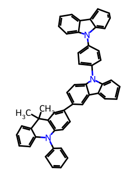 CC1(C)c2ccccc2N(c2ccccc2)c2ccc(-c3ccc4c(c3)c3ccccc3n4-c3ccc(-n4c5ccccc5c5ccccc54)cc3)cc21